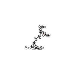 COc1cc(C[C@@H]2c3cc(CO)c(CO)cc3CC[N@@+]2(C)CCCOC(=O)C#CC(=O)OCCC[N@+]2(C)CCc3cc(OC)c(OC)cc3[C@H]2Cc2ccc(OC)c(OC)c2)ccc1CO